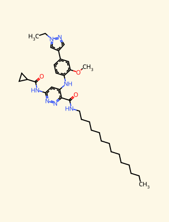 CCCCCCCCCCCCCCNC(=O)c1nnc(NC(=O)C2CC2)cc1Nc1ccc(-c2cnn(CC)c2)cc1OC